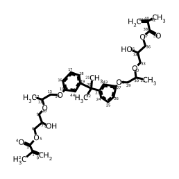 C=C(C)C(=O)OCC(O)COC(C)COc1cccc(C(C)(C)c2cccc(OCC(C)OCC(O)COC(=O)C(=C)C)c2)c1